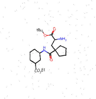 CCOC(=O)C1CCCC(NC(=O)C2(CC(N)C(=O)OC(C)(C)C)CCCC2)C1